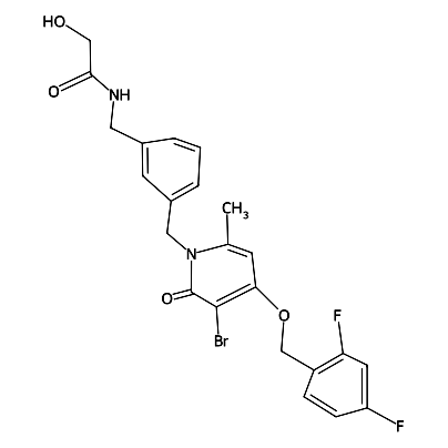 Cc1cc(OCc2ccc(F)cc2F)c(Br)c(=O)n1Cc1cccc(CNC(=O)CO)c1